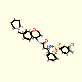 O=C(CC(NS(=O)(=O)c1ccc(Cl)c(Cl)c1)c1ccccc1)NC1CCOc2cc(CN3CCCCC3)ccc21